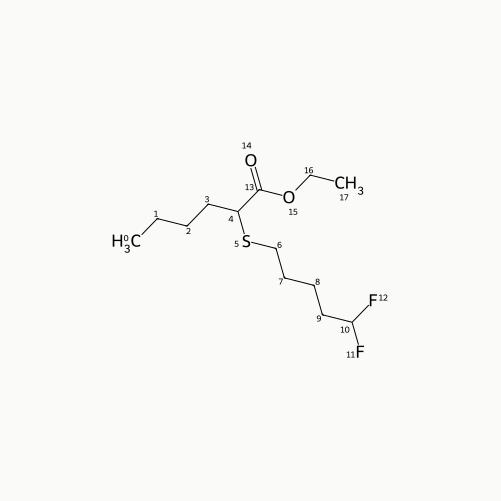 CCCCC(SCCCCC(F)F)C(=O)OCC